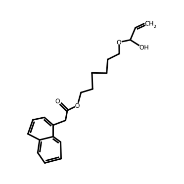 C=CC(O)OCCCCCCOC(=O)Cc1cccc2ccccc12